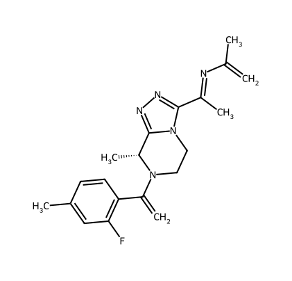 C=C(C)/N=C(\C)c1nnc2n1CCN(C(=C)c1ccc(C)cc1F)[C@@H]2C